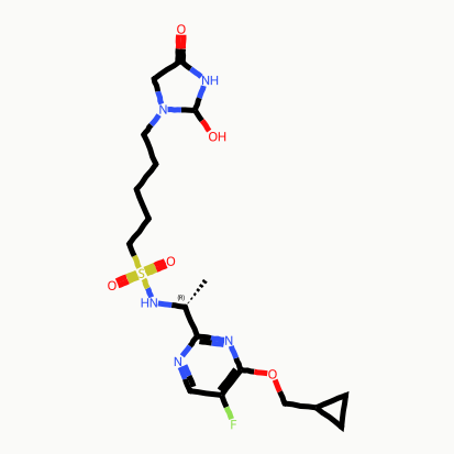 C[C@@H](NS(=O)(=O)CCCCCN1CC(=O)NC1O)c1ncc(F)c(OCC2CC2)n1